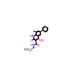 CCOC(=O)CNC(=O)c1c(O)c2cc(-c3ccccc3)cc(C)c2[nH]c1=O